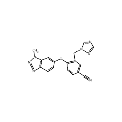 Cn1nnc2ccc(Oc3ccc(C#N)cc3Cn3cncn3)cc21